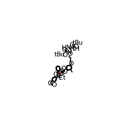 CCN(c1ccc2c(c1)OCO2)S(=O)(=O)c1ccccc1S(=O)(=O)Oc1cc(C)cc(OCCCON(C(=N)NC(=O)OC(C)(C)C)C(=O)OC(C)(C)C)c1